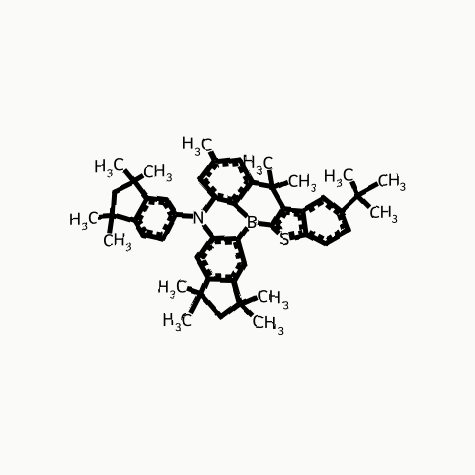 Cc1cc2c3c(c1)C(C)(C)c1c(sc4ccc(C(C)(C)C)cc14)B3c1cc3c(cc1N2c1ccc2c(c1)C(C)(C)CC2(C)C)C(C)(C)CC3(C)C